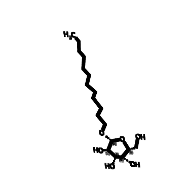 CCCCCCCCCCCCO[C@@H]1O[C@H](CO)[C@H](O)[C@H](O)[C@@H]1O